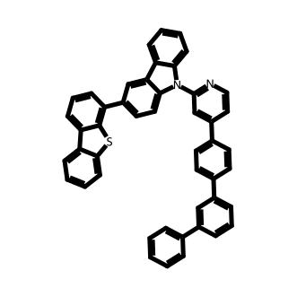 c1ccc(-c2cccc(-c3ccc(-c4ccnc(-n5c6ccccc6c6cc(-c7cccc8c7sc7ccccc78)ccc65)c4)cc3)c2)cc1